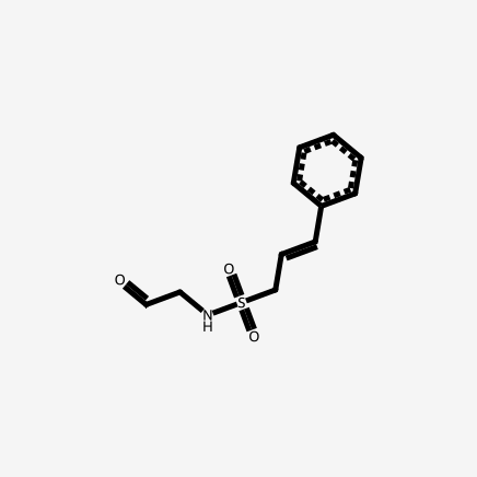 O=[C]CNS(=O)(=O)CC=Cc1ccccc1